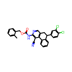 Cc1ccccc1COC(=O)Nc1ncc2c(c1C#N)-c1ccccc1C(c1ccc(Cl)c(Cl)c1)C2